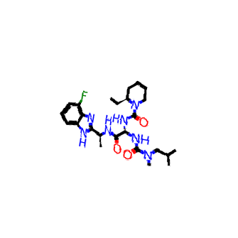 CC[C@H]1CCCCN1C(=O)N[C@H](NC(=O)N(C)CC(C)C)C(=O)N[C@@H](C)c1nc2c(F)cccc2[nH]1